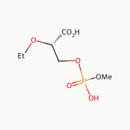 CCO[C@@H](COP(=O)(O)OC)C(=O)O